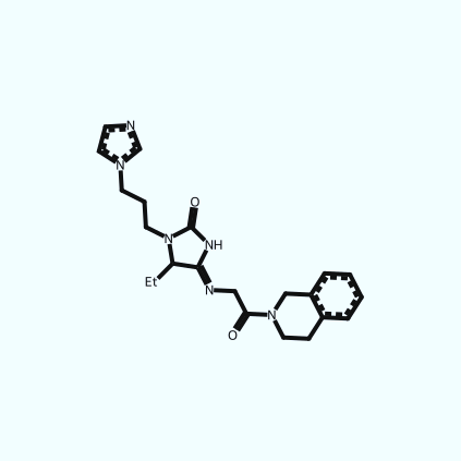 CCC1C(=NCC(=O)N2CCc3ccccc3C2)NC(=O)N1CCCn1ccnc1